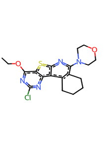 CCOc1nc(Cl)nc2c1sc1nc(N3CCOCC3)c3c(c12)CCCC3